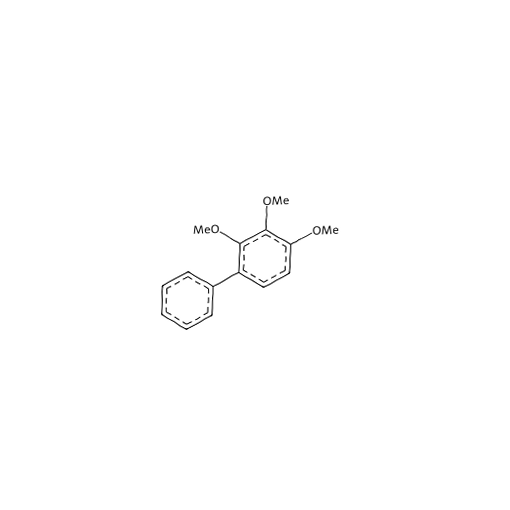 COc1ccc(-c2ccccc2)c(OC)c1OC